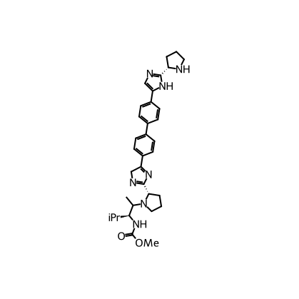 COC(=O)N[C@@H](C(C)C)C(C)N1CCC[C@H]1C1=NCC(c2ccc(-c3ccc(-c4cnc([C@@H]5CCCN5)[nH]4)cc3)cc2)=N1